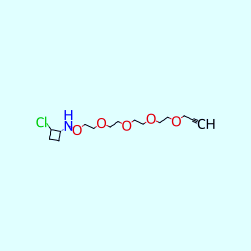 C#CCOCCOCCOCCOCCON[C@@H]1CCC1Cl